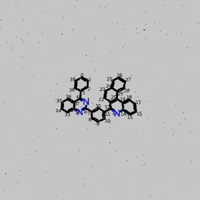 c1ccc(-c2nc(-c3cccc(-c4nc5ccccc5c5c4ccc4ccccc45)c3)nc3ccccc23)cc1